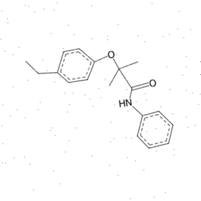 CCc1ccc(OC(C)(C)C(=O)Nc2ccccc2)cc1